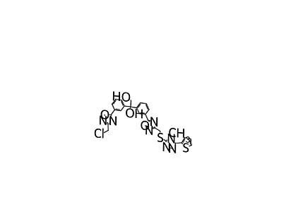 Cn1c(SCc2noc(-c3cccc(C(O)(CO)c4cccc(-c5nc(CCl)no5)c4)c3)n2)nnc1-c1cccs1